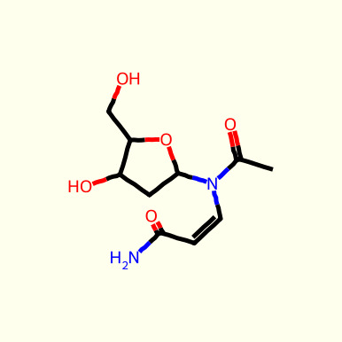 CC(=O)N(/C=C\C(N)=O)C1CC(O)C(CO)O1